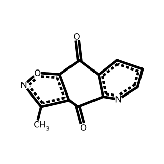 Cc1noc2c1C(=O)c1ncccc1C2=O